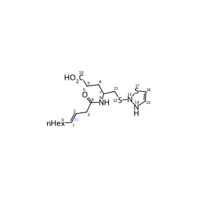 CCCCCC/C=C/CC(=O)NC(CCC(=O)O)CSN1NC=CS1